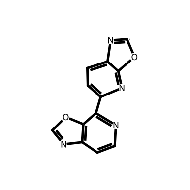 [c]1nc2ccc(-c3nccc4ncoc34)nc2o1